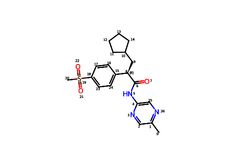 Cc1cnc(NC(=O)[C@H](CC2CCCC2)c2ccc(S(C)(=O)=O)cc2)cn1